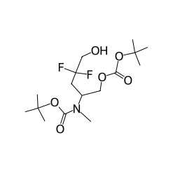 CN(C(=O)OC(C)(C)C)C(COC(=O)OC(C)(C)C)CC(F)(F)CO